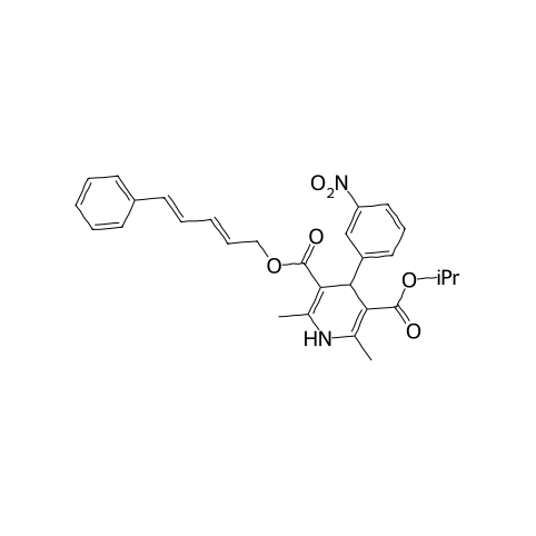 CC1=C(C(=O)OCC=CC=Cc2ccccc2)C(c2cccc([N+](=O)[O-])c2)C(C(=O)OC(C)C)=C(C)N1